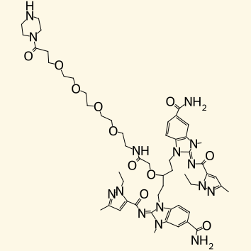 CCn1nc(C)cc1C(=O)N=c1n(C)c2cc(C(N)=O)ccc2n1CCC(CCn1c(=NC(=O)c2cc(C)nn2CC)n(C)c2cc(C(N)=O)ccc21)OCC(=O)NCCOCCOCCOCCOCCC(=O)N1CCNCC1